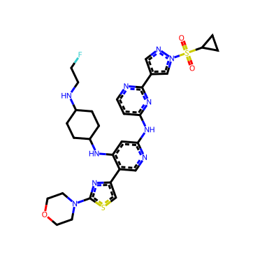 O=S(=O)(C1CC1)n1cc(-c2nccc(Nc3cc(NC4CCC(NCCF)CC4)c(-c4csc(N5CCOCC5)n4)cn3)n2)cn1